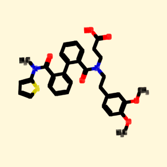 COc1ccc(CCN(CCC(=O)O)C(=O)c2ccccc2-c2ccccc2C(=O)N(C)c2cccs2)cc1OC